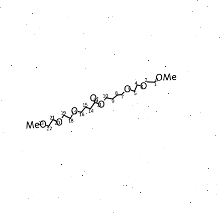 COCCOCCOCCCCOC([O])CCCOCCOCCOC